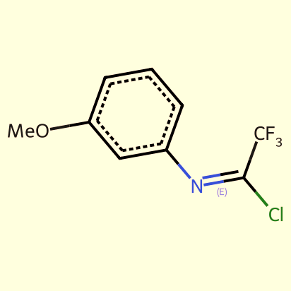 COc1cccc(/N=C(/Cl)C(F)(F)F)c1